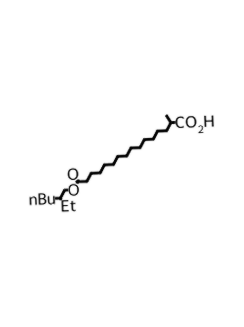 CCCCC(CC)COC(=O)CCCCCCCCCCCCCC(C)C(=O)O